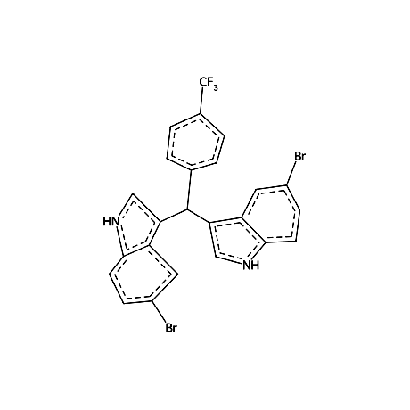 FC(F)(F)c1ccc(C(c2c[nH]c3ccc(Br)cc23)c2c[nH]c3ccc(Br)cc23)cc1